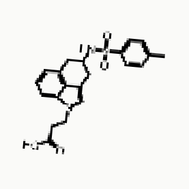 Cc1ccc(S(=O)(=O)NC2Cc3cccc4c3c(cn4CCC(=O)O)C2)cc1